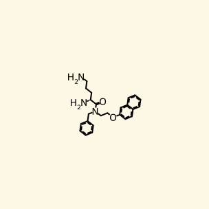 NCCC[C@H](N)C(=O)N(CCOc1ccc2ccccc2c1)Cc1ccccc1